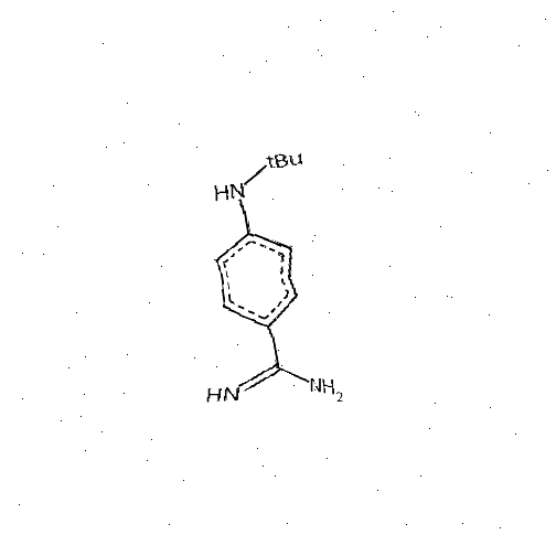 CC(C)(C)Nc1ccc(C(=N)N)cc1